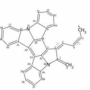 C=c1/c(=C\C=C/C)c2c3c4ccccc4n4c5ccccc5c(c5c6ccccc6n1c25)c34